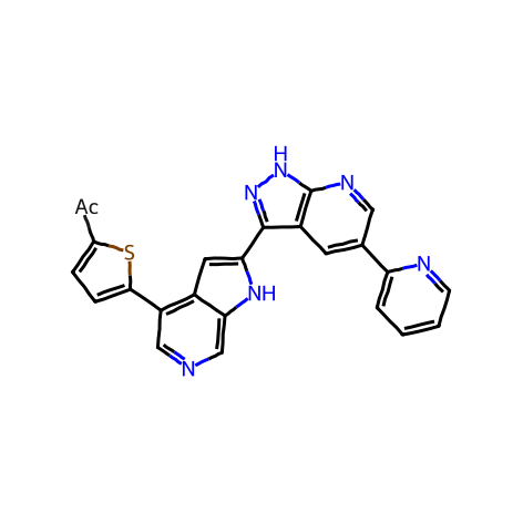 CC(=O)c1ccc(-c2cncc3[nH]c(-c4n[nH]c5ncc(-c6ccccn6)cc45)cc23)s1